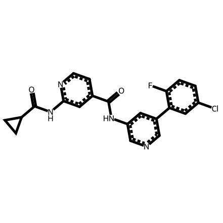 O=C(Nc1cncc(-c2cc(Cl)ccc2F)c1)c1ccnc(NC(=O)C2CC2)c1